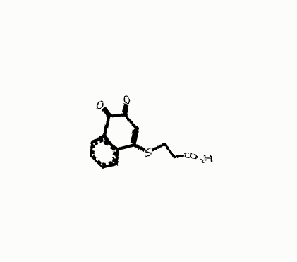 O=C(O)CCSC1=CC(=O)C(=O)c2ccccc21